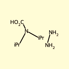 CC(C)N(C(=O)O)C(C)C.NN